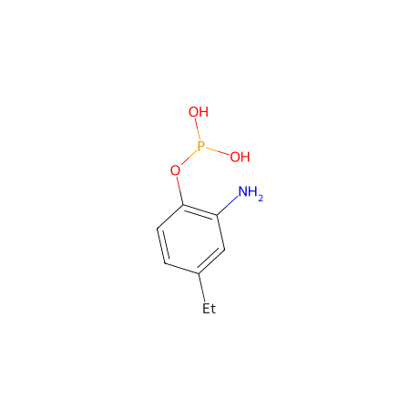 CCc1ccc(OP(O)O)c(N)c1